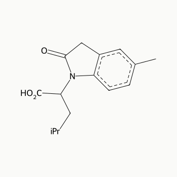 Cc1ccc2c(c1)CC(=O)N2C(CC(C)C)C(=O)O